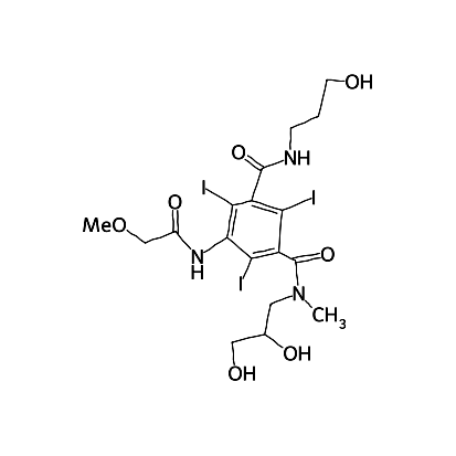 COCC(=O)Nc1c(I)c(C(=O)NCCCO)c(I)c(C(=O)N(C)CC(O)CO)c1I